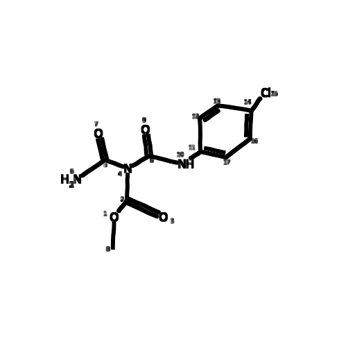 COC(=O)N(C(N)=O)C(=O)Nc1ccc(Cl)cc1